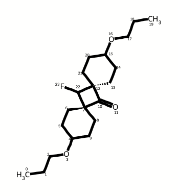 CCCOC1CC[C@]2(CC1)C(=O)[C@@]1(CCC(OCCC)CC1)C2F